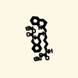 CC(C)(C)OC(=O)NCCCCN(Cc1ccc2ccccc2n1)CC1Cc2ccccc2CN1C(=O)OC(C)(C)C